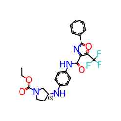 CCOC(=O)N1CC[C@H](Nc2ccc(NC(=O)c3nc(-c4ccccc4)oc3C(F)(F)F)cc2)C1